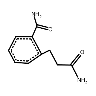 NC(=O)[CH]Cc1ccccc1C(N)=O